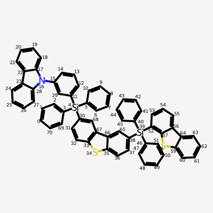 c1ccc([Si](c2ccccc2)(c2cccc(-n3c4ccccc4c4ccccc43)c2)c2ccc3sc4ccc([Si](c5ccccc5)(c5ccccc5)c5cccc6c5sc5ccccc56)cc4c3c2)cc1